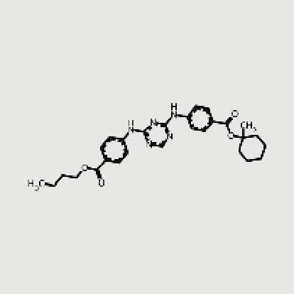 CCCCOC(=O)c1ccc(Nc2ncnc(Nc3ccc(C(=O)OC4(C)CCCCC4)cc3)n2)cc1